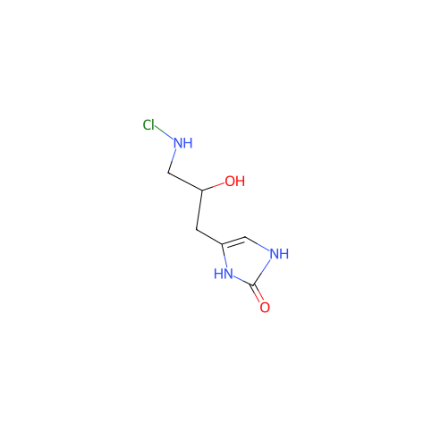 O=c1[nH]cc(CC(O)CNCl)[nH]1